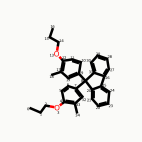 CCCOc1ccc(C2(c3ccc(OCCC)c(C)c3)c3ccccc3-c3ccccc32)cc1C